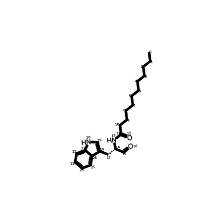 CCCCCCCCCCCC(=O)N[C@H](C=O)Cc1c[nH]c2ccccc12